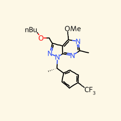 CCCCOCc1nn([C@@H](C)c2ccc(C(F)(F)F)cc2)c2nc(C)nc(OC)c12